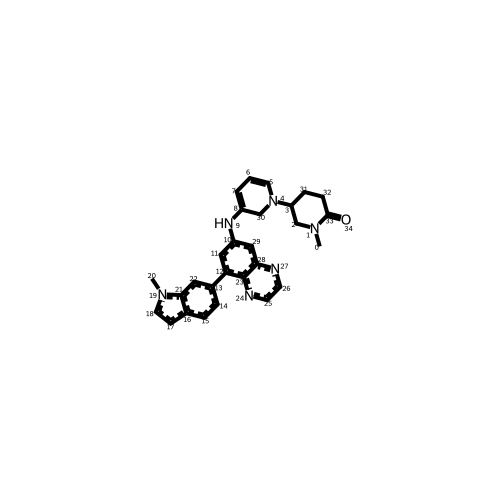 CN1CC(N2C=CC=C(Nc3cc(-c4ccc5ccn(C)c5c4)c4nccnc4c3)C2)CCC1=O